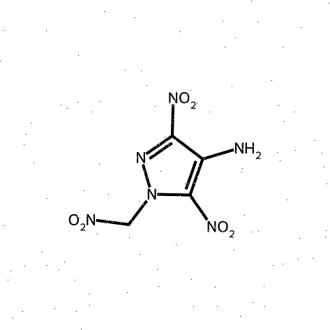 Nc1c([N+](=O)[O-])nn(C[N+](=O)[O-])c1[N+](=O)[O-]